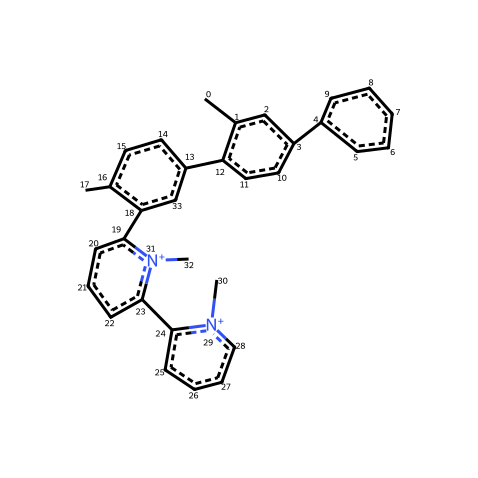 Cc1cc(-c2ccccc2)ccc1-c1ccc(C)c(-c2cccc(-c3cccc[n+]3C)[n+]2C)c1